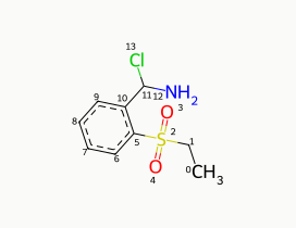 CCS(=O)(=O)c1ccccc1C(N)Cl